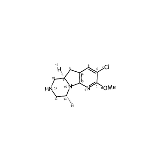 COc1nc2c(cc1Cl)C[C@@H]1CNC[C@@H](C)N21